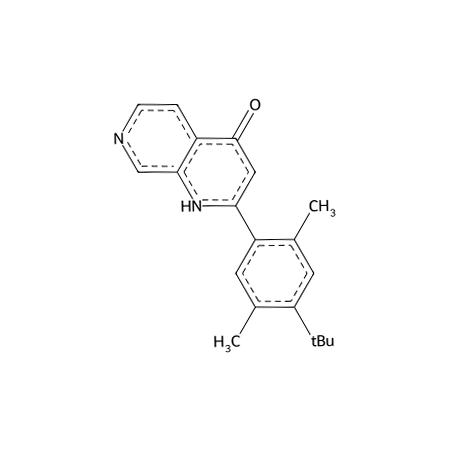 Cc1cc(C(C)(C)C)c(C)cc1-c1cc(=O)c2ccncc2[nH]1